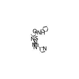 Cc1nc(-n2cc(-c3cccnc3)nn2)sc1C(=O)NCc1ccccc1